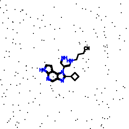 N#CCCCN/C=C(\C=N)n1c(C2CCC2)nc2cnc3[nH]ccc3c21